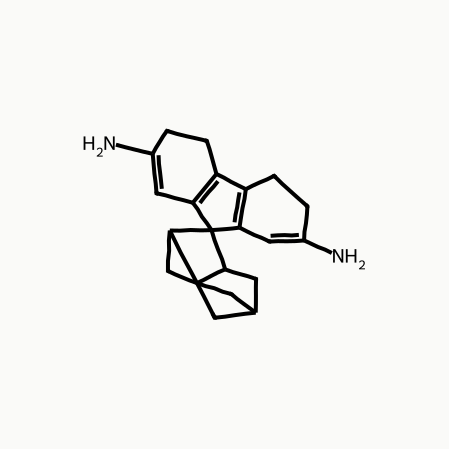 NC1=CC2=C(CC1)C1=C(C=C(N)CC1)C21C2CC3CC(C2)C1C3